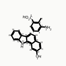 Cc1c(N)cccc1C(=O)O.Oc1ccc2ccc3c4ccccc4[nH]c3c2c1